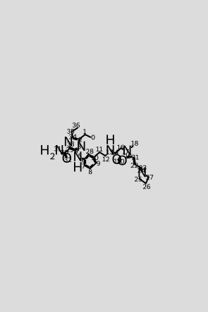 CCc1nc(Nc2cccc(CCNC(=O)CN(C)C(=O)/C=C/CN3CCC3)c2)c(C(N)=O)nc1CC